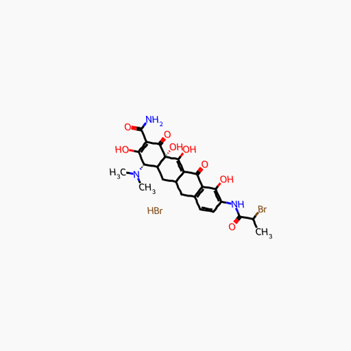 Br.CC(Br)C(=O)Nc1ccc2c(c1O)C(=O)C1=C(O)[C@]3(O)C(=O)C(C(N)=O)=C(O)[C@@H](N(C)C)C3CC1C2